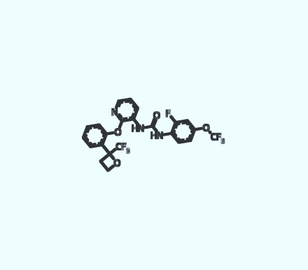 O=C(Nc1ccc(OC(F)(F)F)cc1F)Nc1cccnc1Oc1ccccc1C1(C(F)(F)F)CCO1